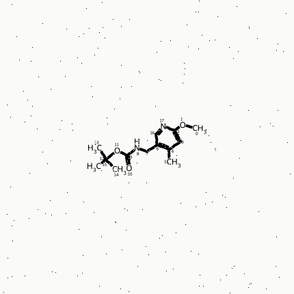 COc1cc(C)c(CNC(=O)OC(C)(C)C)cn1